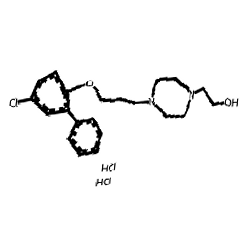 Cl.Cl.OCCN1CCN(CCCOc2ccc(Cl)cc2-c2ccccc2)CC1